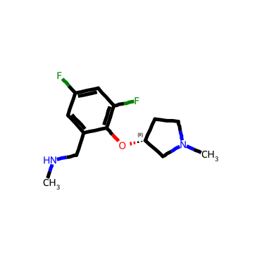 CNCc1cc(F)cc(F)c1O[C@@H]1CCN(C)C1